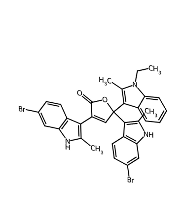 CCn1c(C)c(C2(c3c(C)[nH]c4cc(Br)ccc34)C=C(c3c(C)[nH]c4cc(Br)ccc34)C(=O)O2)c2ccccc21